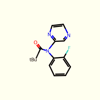 CC(C)(C)C(=O)N(c1cnccn1)c1ccccc1F